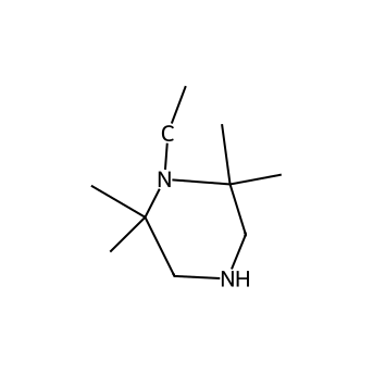 CCN1C(C)(C)CNCC1(C)C